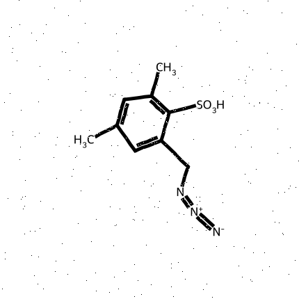 Cc1cc(C)c(S(=O)(=O)O)c(CN=[N+]=[N-])c1